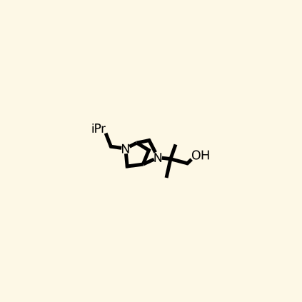 CC(C)CN1CC2CC1CN2C(C)(C)CO